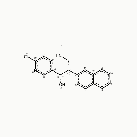 CNC[C@H](c1ccc2ccccc2c1)[C@H](O)c1ccc(Cl)nc1